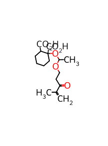 C=C(C)C(=O)CCOC(C)OC1(C(=O)O)CCCCC1C(=O)O